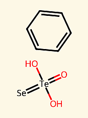 O=[Te](O)(O)=[Se].c1ccccc1